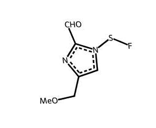 COCc1cn(SF)c(C=O)n1